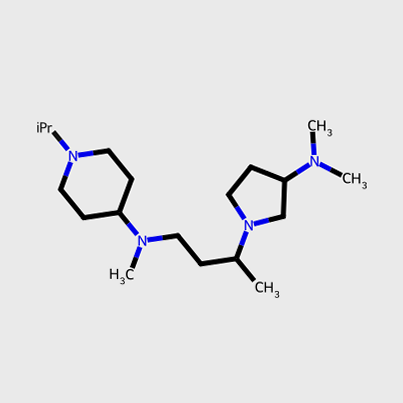 CC(C)N1CCC(N(C)CCC(C)N2CCC(N(C)C)C2)CC1